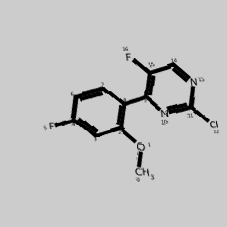 COc1cc(F)ccc1-c1nc(Cl)ncc1F